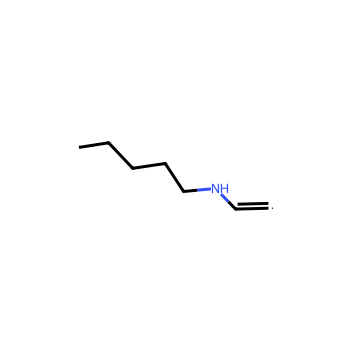 [CH]=CNCCCCC